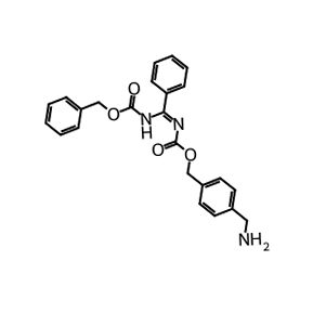 NCc1ccc(COC(=O)N=C(NC(=O)OCc2ccccc2)c2ccccc2)cc1